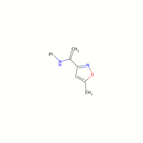 C=C(NC(C)C)c1cc(C)on1